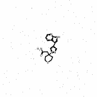 NC(=O)CC1(n2cc(-c3c[nH]c4ncccc34)cn2)CCSCC1